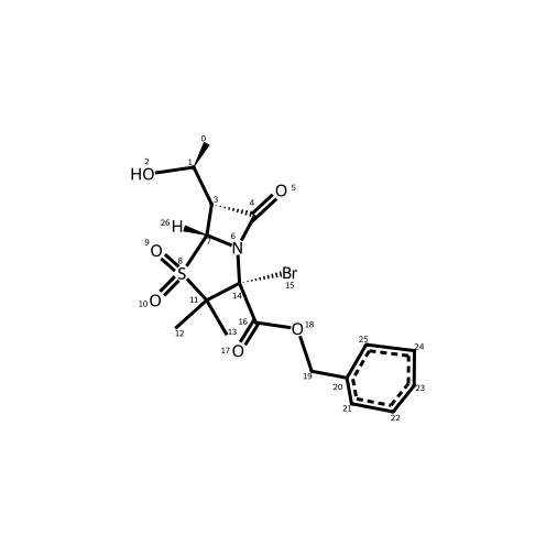 C[C@H](O)[C@@H]1C(=O)N2[C@@H]1S(=O)(=O)C(C)(C)[C@]2(Br)C(=O)OCc1ccccc1